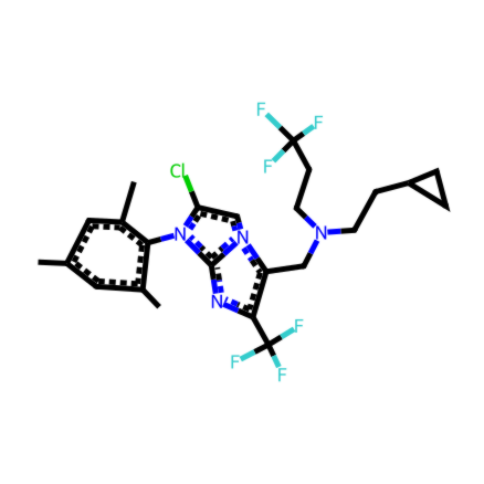 Cc1cc(C)c(-n2c(Cl)cn3c(CN(CCC4CC4)CCC(F)(F)F)c(C(F)(F)F)nc23)c(C)c1